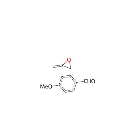 C=C1CO1.COc1ccc(C=O)cc1